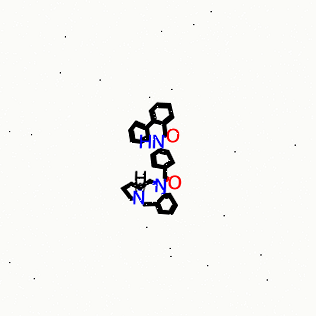 O=C(Nc1ccc(C(=O)N2C[C@@H]3CCCN3Cc3ccccc32)cc1)c1ccccc1-c1ccccc1